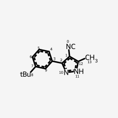 [C-]#[N+]c1c(-c2cccc(C(C)(C)C)c2)n[nH]c1C